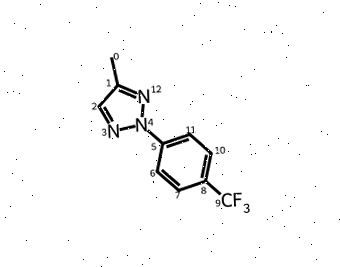 Cc1cnn(-c2ccc(C(F)(F)F)cc2)n1